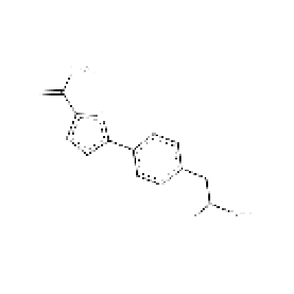 COC(=O)c1ccc(-c2ccc(CC(C)NC(C)=O)cc2)o1